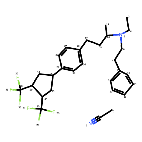 CC#N.CCN(CCc1ccccc1)C(C)CCc1ccc(C2CC(C(F)(F)F)C(C(F)(F)F)C2)cc1